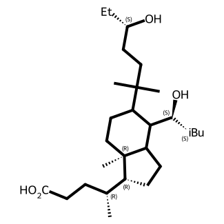 CC[C@H](O)CCC(C)(C)C1CC[C@@]2(C)C(CC[C@@H]2[C@H](C)CCC(=O)O)C1[C@@H](O)[C@@H](C)CC